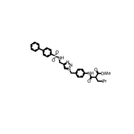 COC(=O)C(CC(C)C)C(=O)Nc1ccc(Cn2cc(CNS(=O)(=O)c3ccc(-c4ccccc4)cc3)nn2)cc1